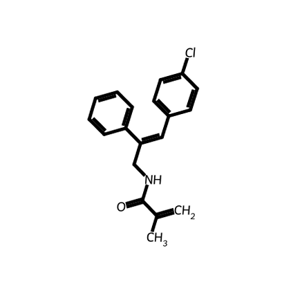 C=C(C)C(=O)NC/C(=C/c1ccc(Cl)cc1)c1ccccc1